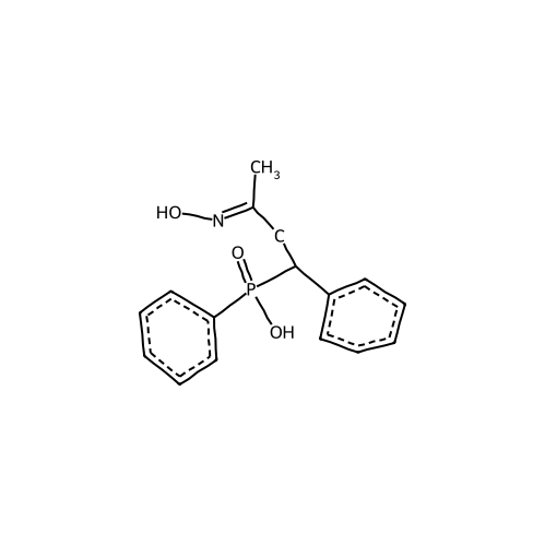 CC(CC(c1ccccc1)P(=O)(O)c1ccccc1)=NO